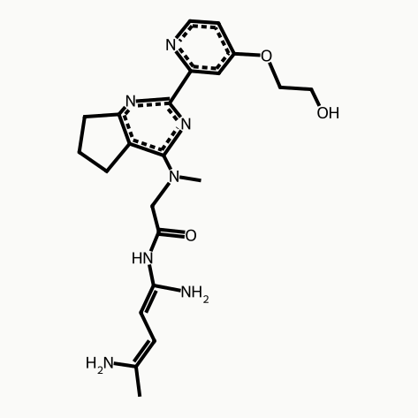 C/C(N)=C/C=C(\N)NC(=O)CN(C)c1nc(-c2cc(OCCO)ccn2)nc2c1CCC2